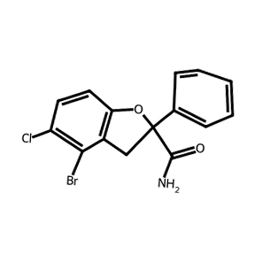 NC(=O)C1(c2ccccc2)Cc2c(ccc(Cl)c2Br)O1